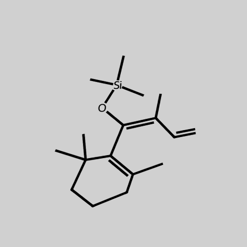 C=CC(C)=C(O[Si](C)(C)C)C1=C(C)CCCC1(C)C